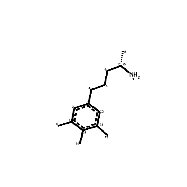 Cc1cc(CCC[C@H](C)N)cc(C)c1C